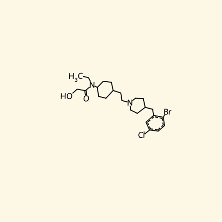 CCN(C(=O)CO)C1CCC(CCN2CCC(Cc3cc(Cl)ccc3Br)CC2)CC1